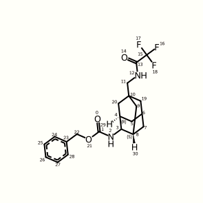 O=C(NC1[C@@H]2CC3C[C@H]1CC(CNC(=O)C(F)(F)F)(C3)C2)OCc1ccccc1